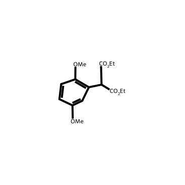 CCOC(=O)C(C(=O)OCC)c1cc(OC)ccc1OC